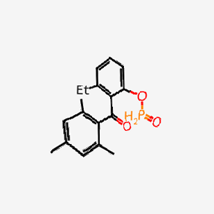 CCc1cccc(O[PH2]=O)c1C(=O)c1c(C)cc(C)cc1C